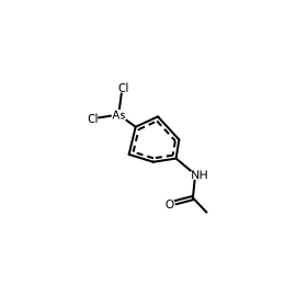 CC(=O)Nc1ccc([As](Cl)Cl)cc1